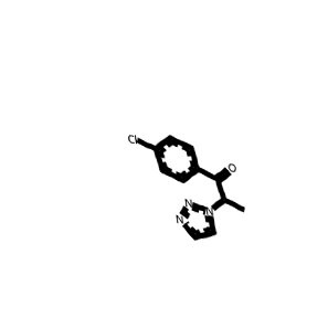 CC(C(=O)c1ccc(Cl)cc1)n1ccnn1